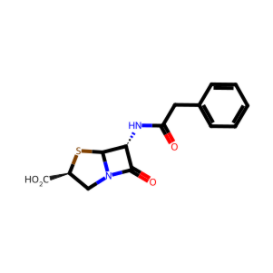 O=C(Cc1ccccc1)N[C@@H]1C(=O)N2C[C@@H](C(=O)O)SC12